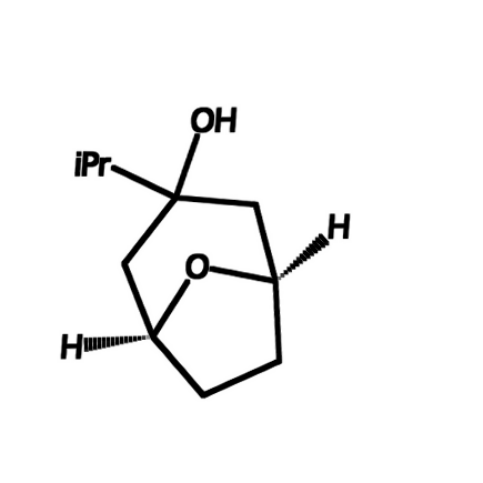 CC(C)C1(O)C[C@H]2CC[C@@H](C1)O2